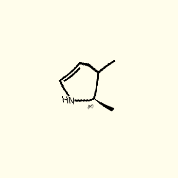 CC1C=CN[C@@H]1C